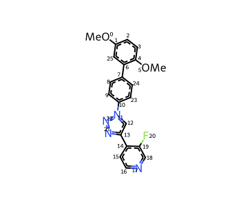 COc1ccc(OC)c(-c2ccc(-n3cc(-c4ccncc4F)nn3)cc2)c1